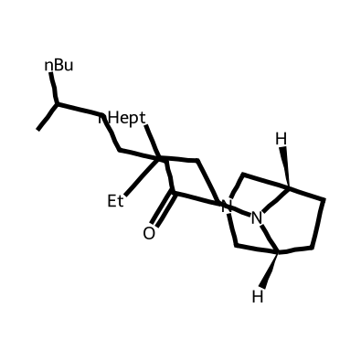 CCCCCCCC(CC)CCN1[C@@H]2CC[C@H]1CN(C(=O)CCCC(C)CCCC)C2